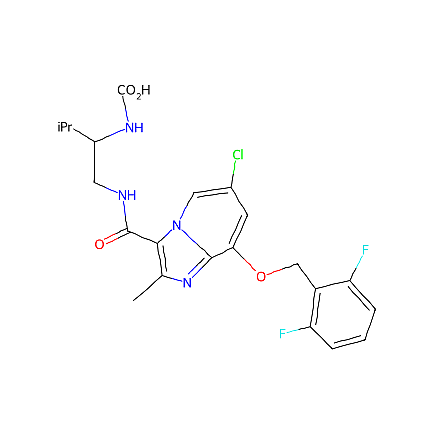 Cc1nc2c(OCc3c(F)cccc3F)cc(Cl)cn2c1C(=O)NCC(NC(=O)O)C(C)C